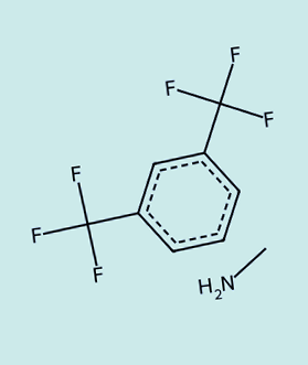 CN.FC(F)(F)c1cccc(C(F)(F)F)c1